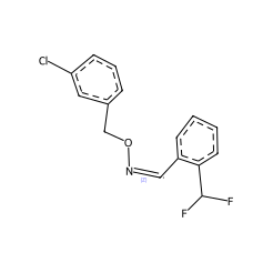 FC(F)c1ccccc1/[C]=N\OCc1cccc(Cl)c1